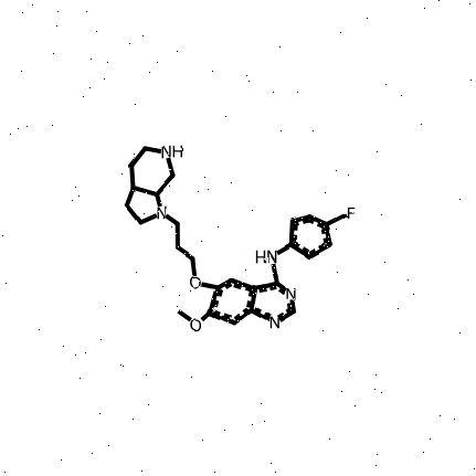 COc1cc2ncnc(Nc3ccc(F)cc3)c2cc1OCCCN1CCC2CCNCC21